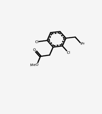 COC(=O)Cc1c(Cl)ccc(CC(C)C)c1Cl